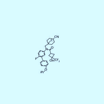 CC(C)Oc1ccc(-c2cc(N(CC34CCC(C#N)(CC3)CC4)C(=O)C3CC(O)(C(F)(F)F)C3)ccc2F)cc1